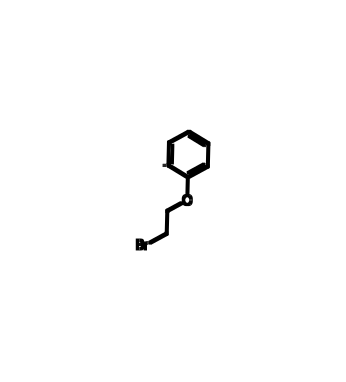 BrCCOc1[c]cccc1